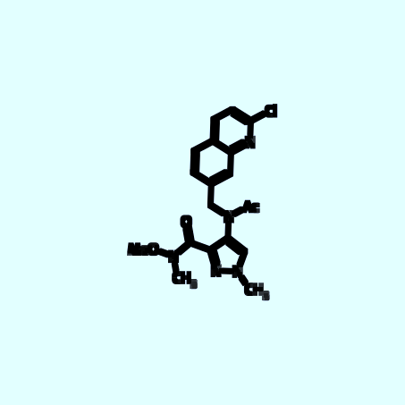 CON(C)C(=O)c1nn(C)cc1N(Cc1ccc2ccc(Cl)nc2c1)C(C)=O